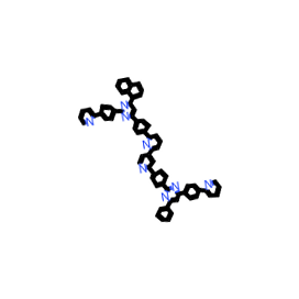 c1ccc(-c2cc(-c3ccc(-c4ccccn4)cc3)nc(-c3ccc(-c4cc(-c5cccc(-c6ccc(-c7cc(-c8cccc9ccccc89)nc(-c8ccc(-c9ccccn9)cc8)n7)cc6)n5)ccn4)cc3)n2)cc1